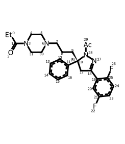 CCC(=O)N1CCN(CCC[C@]2(c3ccccc3)CC(c3cc(F)ccc3F)=NN2C(C)=O)CC1